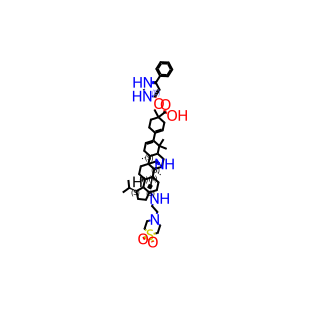 C#C[C@@]12CC[C@@]3(NCCN4CCS(=O)(=O)CC4)CC[C@@H](C(C)C)C3[C@H]1CCC1(C=N)[C@@]3(C)CC=C(C4=CCC(CO/C(=C/C(=N)c5ccccc5)NC)(C(=O)O)CC4)C(C)(C)C3CC[C@]12C